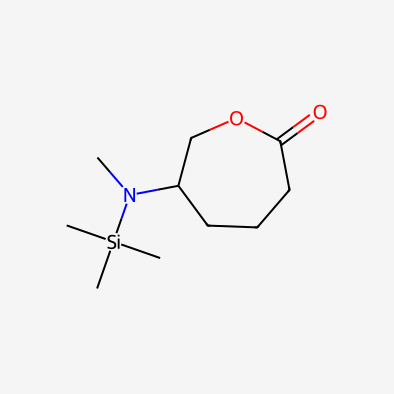 CN(C1CCCC(=O)OC1)[Si](C)(C)C